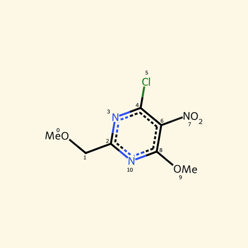 COCc1nc(Cl)c([N+](=O)[O-])c(OC)n1